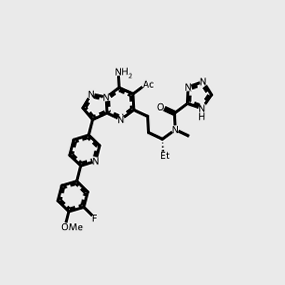 CC[C@H](CCc1nc2c(-c3ccc(-c4ccc(OC)c(F)c4)nc3)cnn2c(N)c1C(C)=O)N(C)C(=O)c1nnc[nH]1